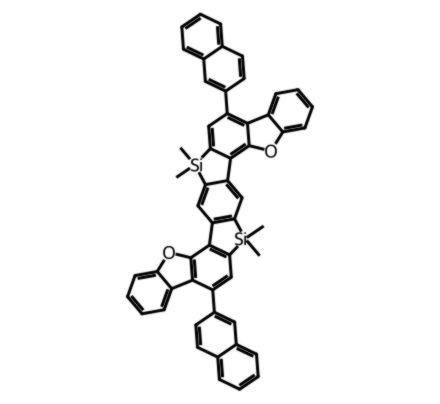 C[Si]1(C)c2cc3c(cc2-c2c1cc(-c1ccc4ccccc4c1)c1c2oc2ccccc21)[Si](C)(C)c1cc(-c2ccc4ccccc4c2)c2c(oc4ccccc42)c1-3